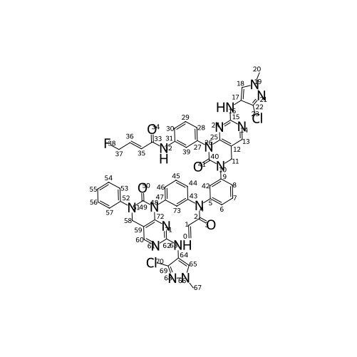 C=CC(=O)N(c1cccc(N2Cc3cnc(Nc4cn(C)nc4Cl)nc3N(c3cccc(NC(=O)/C=C/CF)c3)C2=O)c1)c1cccc(N2C(=O)N(c3ccccc3)Cc3cnc(Nc4cn(C)nc4Cl)nc32)c1